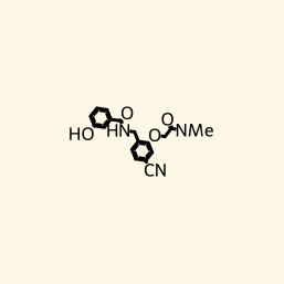 CNC(=O)COc1cc(C#N)ccc1CNC(=O)c1cccc(O)c1